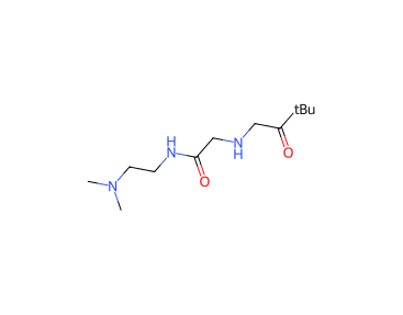 CN(C)CCNC(=O)CNCC(=O)C(C)(C)C